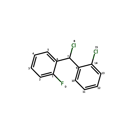 Fc1ccccc1C(Cl)c1ccccc1Cl